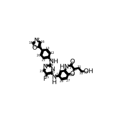 O=C1Nc2cc(Nc3nc(Nc4ccc(-c5cnco5)cc4)ncc3F)ccc2OC1CCO